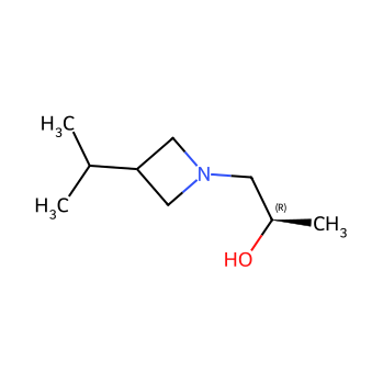 CC(C)C1CN(C[C@@H](C)O)C1